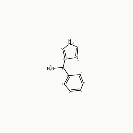 NC(c1ccccc1)c1c[nH]cn1